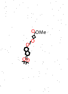 COC(=O)[C@H]1C[C@H](OCCOc2ccc3cc(B4OC(C)(C)C(C)(C)O4)ccc3c2)C1